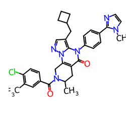 CC1Cc2c(n3ncc(CC4CCC4)c3n(-c3ccc(-c4nccn4C)cc3)c2=O)CN1C(=O)c1ccc(Cl)c(C(F)(F)F)c1